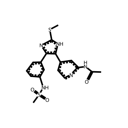 CSc1nc(-c2cccc(NS(C)(=O)=O)c2)c(-c2ccnc(NC(C)=O)c2)[nH]1